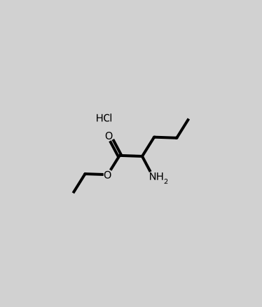 CCCC(N)C(=O)OCC.Cl